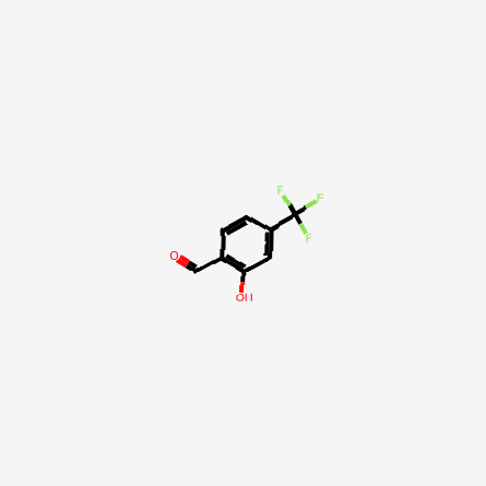 O=[C]c1ccc(C(F)(F)F)cc1O